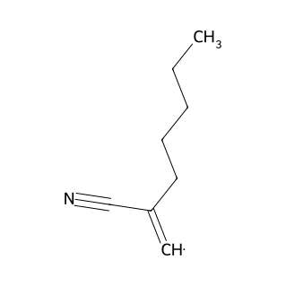 [CH]=C(C#N)CCCCC